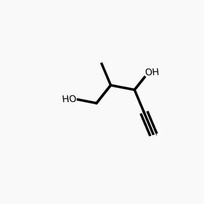 [C]#CC(O)C(C)CO